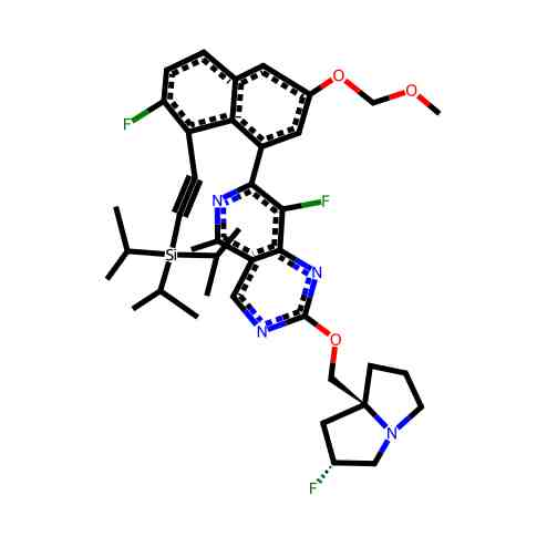 COCOc1cc(-c2nc(C)c3cnc(OC[C@@]45CCCN4C[C@H](F)C5)nc3c2F)c2c(C#C[Si](C(C)C)(C(C)C)C(C)C)c(F)ccc2c1